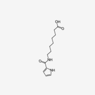 O=C(O)CCCCCCCNC(=O)c1ccc[nH]1